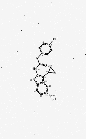 O=C(Cc1ccc(F)cc1)Nc1nc2ccc(C(F)(F)F)cn2c1C1CC1